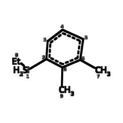 CC[SiH2]c1cccc(C)c1C